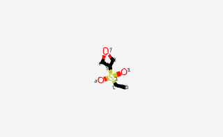 CCS(=O)(=O)C1COC1